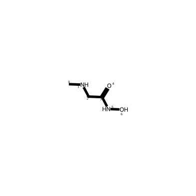 CN[CH]C(=O)NO